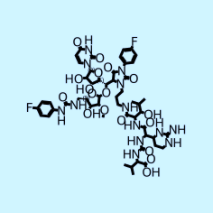 COC1C(OC(C2C(=O)N(c3ccc(F)cc3)C(=O)N2CCCNC(=O)C(NC(=O)C(NC(=O)NC(C(=O)O)C(C)C)C2CCNC(=N)N2)C(O)C(C)C)[C@H]2O[C@@H](n3ccc(=O)[nH]c3=O)C(O)C2O)O[C@H](CNC(=O)Nc2ccc(F)cc2)C1O